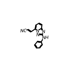 N#CC=Cc1cccc2nc(Nc3ccccc3)nn12